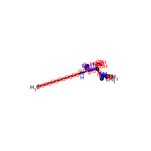 CCOCc1nc2c(NC(=O)OCc3ccc(O[C@@H]4O[C@H](C(=O)O)[C@@H](O)[C@H](O)[C@H]4O)c(NC(=O)CCNC(=O)[C@H](CCCCNC(=O)CCOCCOCCOCCOCCOCCOCCOCCOCCOCCOCCOCCOC)NC(=O)[C@H](CN)N4C(=O)C=CC4=O)c3)nc3ccccc3c2n1CC(C)(C)O